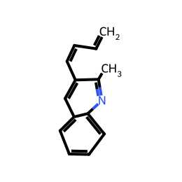 C=C/C=C\c1cc2ccccc2nc1C